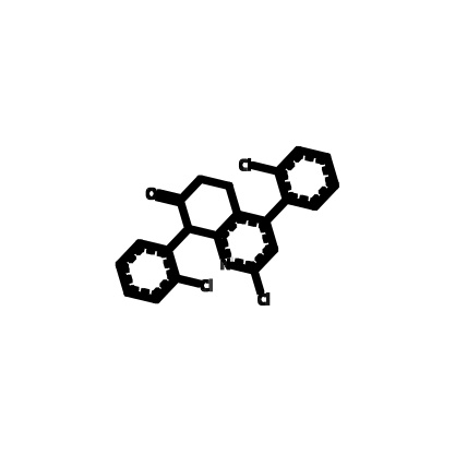 O=C1CCc2c(-c3ccccc3Cl)cc(Cl)nc2C1c1ccccc1Cl